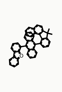 CC1(C)c2cccc(-c3c4ccccc4c(-c4cccc5c4oc4ccccc45)c4ccccc34)c2-c2c1ccc1ccccc21